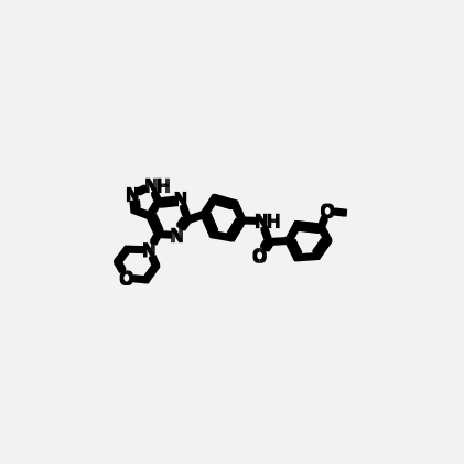 COc1cccc(C(=O)Nc2ccc(-c3nc(N4CCOCC4)c4cn[nH]c4n3)cc2)c1